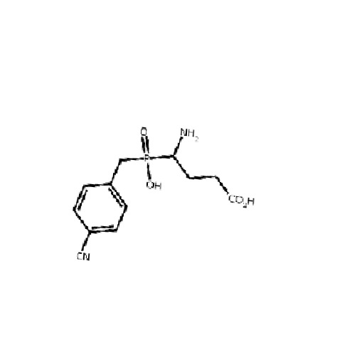 N#Cc1ccc(CP(=O)(O)C(N)CCC(=O)O)cc1